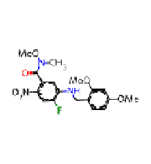 COc1ccc(CNc2cc(C(=O)N(C)OC)c([N+](=O)[O-])cc2F)c(OC)c1